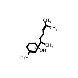 CC(C)=CCCC(C)[C@]1(O)C=C(C)CCC1